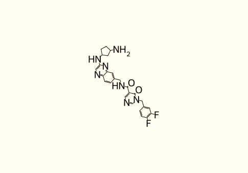 NC1CCC(Nc2cnc3ccc(CNC(=O)c4cncn(Cc5ccc(F)c(F)c5)c4=O)cc3n2)C1